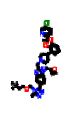 Cc1nnc(-c2ccc3c(c2)nc(CN2CCC(c4cccc5c4OC(C)(c4ccc(Cl)cn4)O5)CC2)n3C[C@@H]2CCO2)n1COCC[Si](C)(C)C